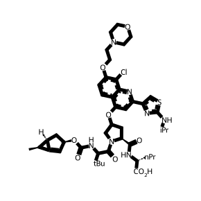 CCC[C@@H](NC(=O)[C@@H]1CC(Oc2cc(-c3csc(NC(C)C)n3)nc3c(Cl)c(OCCN4CCOCC4)ccc23)CN1C(=O)C(NC(=O)O[C@H]1C=C2[C@@H](C)[C@H]2C1)C(C)(C)C)C(=O)O